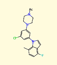 CC(=O)N1CCN(c2cc(Cl)cc(-n3ccc4c(F)ccc(C)c43)c2)CC1